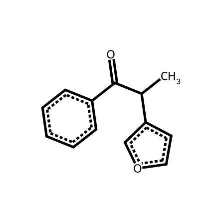 CC(C(=O)c1ccccc1)c1ccoc1